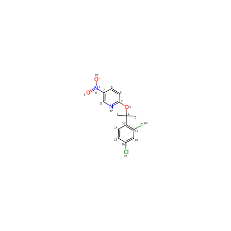 CC(C)(Oc1ccc([N+](=O)[O-])cn1)c1ccc(Cl)cc1F